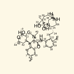 C[C@@H]1CC([C@H](c2ccc(F)cc2)[C@@H](C(=O)Nc2cccc(F)c2CC[C@H]2CN[C@@H]3CCC(C)(C)S(O)(O)N2C3)N(C)C(=O)O)C[C@H](C)O1